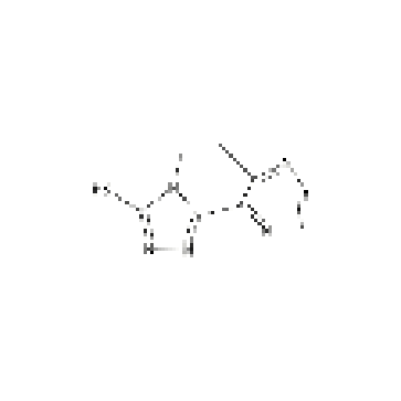 Cc1nccnc1-c1nnc(S)n1C